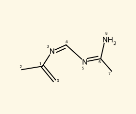 C=C(C)/N=C\N=C(\C)N